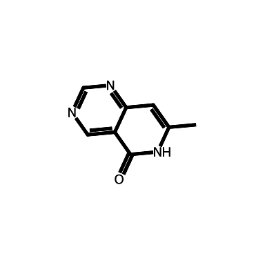 Cc1cc2ncncc2c(=O)[nH]1